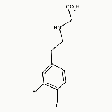 O=C(O)CNCCc1ccc(F)c(F)c1